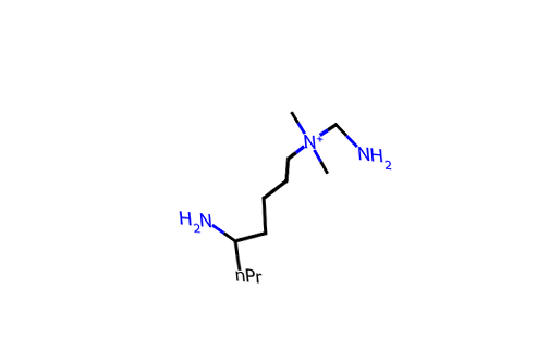 CCCC(N)CCCC[N+](C)(C)CN